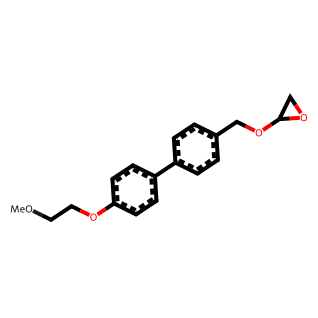 COCCOc1ccc(-c2ccc(COC3CO3)cc2)cc1